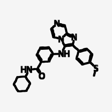 CSc1ccc(-c2nc3cnccn3c2Nc2cccc(C(=O)NC3CCCCC3)c2)cc1